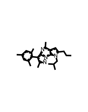 CCCc1cc2c(C)nc3c(-c4c(C)cc(C)cc4C)c(C)nn3c2n1CC(C)C